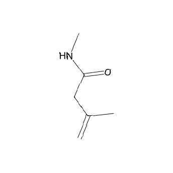 C=C(C)CC(=O)NC